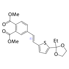 CCC1(c2ccc(/C=C/c3ccc(C(=O)OC)c(C(=O)OC)c3)s2)OCCO1